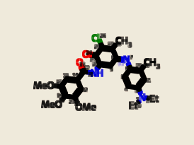 CCN(CC)c1ccc(/N=C2\C=C(NC(=O)c3cc(OC)c(OC)c(OC)c3)C(=O)C(Cl)=C2C)c(C)c1